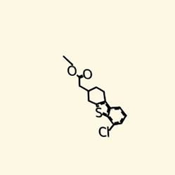 CCOC(=O)CC1CCc2c(sc3c(Cl)cccc23)C1